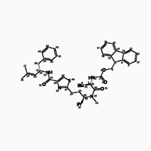 CC[C@H](C)[C@H](NC(=O)OCC1c2ccccc2-c2ccccc21)C(=O)N(C)[C@H](CCc1nc(C(=O)N[C@H](C=C(C)C)Cc2ccccc2)cs1)C(C)C